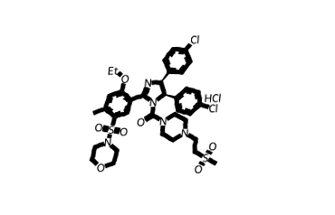 CCOc1cc(C)c(S(=O)(=O)N2CCOCC2)cc1C1=N[C@@H](c2ccc(Cl)cc2)[C@@H](c2ccc(Cl)cc2)N1C(=O)N1CCN(CCS(C)(=O)=O)CC1.Cl